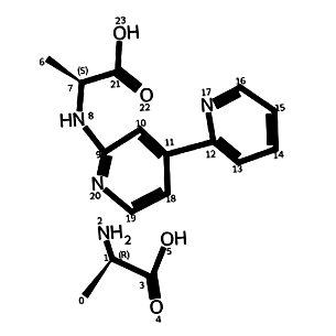 C[C@@H](N)C(=O)O.C[C@H](Nc1cc(-c2ccccn2)ccn1)C(=O)O